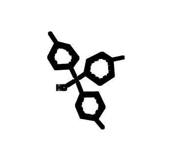 Cc1ccc(S(O)(c2ccc(C)cc2)c2ccc(C)cc2)cc1